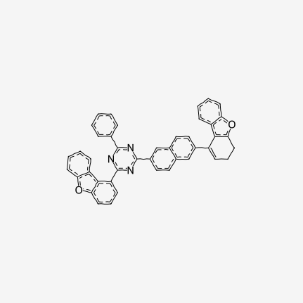 C1=C(c2ccc3cc(-c4nc(-c5ccccc5)nc(-c5cccc6oc7ccccc7c56)n4)ccc3c2)c2c(oc3ccccc23)CC1